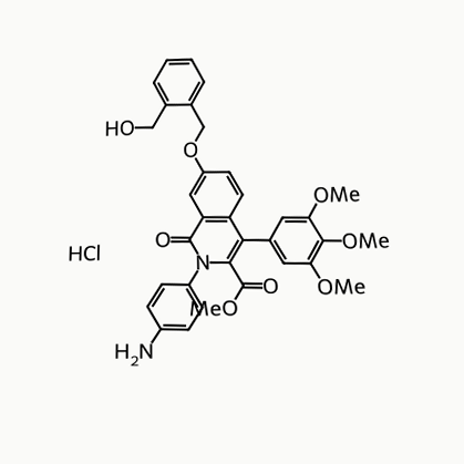 COC(=O)c1c(-c2cc(OC)c(OC)c(OC)c2)c2ccc(OCc3ccccc3CO)cc2c(=O)n1-c1ccc(N)cc1.Cl